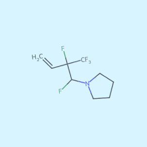 C=CC(F)(C(F)N1CCCC1)C(F)(F)F